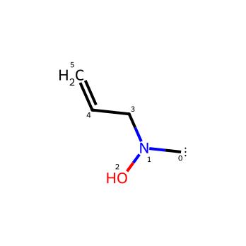 [C]N(O)CC=C